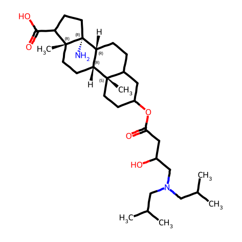 CC(C)CN(CC(C)C)CC(O)CC(=O)OC1CC[C@@]2(C)C(CC[C@@H]3[C@H]2CC[C@]2(C)C(C(=O)O)CC[C@@]32N)C1